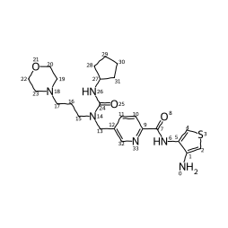 Nc1cscc1NC(=O)c1ccc(CN(CCCN2CCOCC2)C(=O)NC2CCCC2)cn1